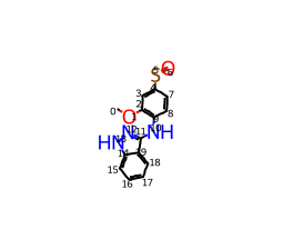 COc1cc([S+]=O)ccc1Nc1n[nH]c2ccccc12